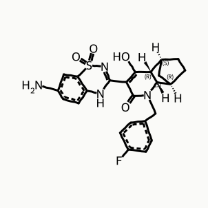 Nc1ccc2c(c1)S(=O)(=O)N=C(C1=C(O)[C@@H]3[C@H]4CC[C@H](C4)[C@@H]3N(Cc3ccc(F)cc3)C1=O)N2